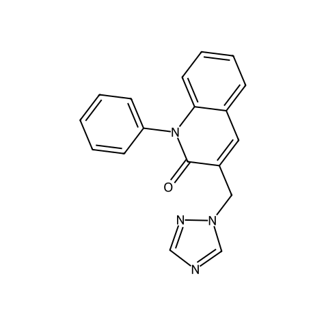 O=c1c(Cn2cncn2)cc2ccccc2n1-c1ccccc1